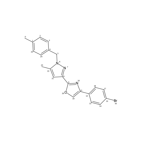 Cc1ccc(Cn2nc(-c3nc(-c4ccc(Br)cc4)co3)cc2C)cc1